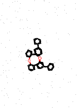 c1ccc(-c2ccc3c(c2)Oc2ccc(-c4ccccc4)cc2-c2ccccc2Oc2ccccc2-3)cc1